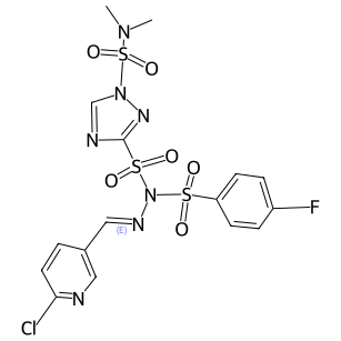 CN(C)S(=O)(=O)n1cnc(S(=O)(=O)N(/N=C/c2ccc(Cl)nc2)S(=O)(=O)c2ccc(F)cc2)n1